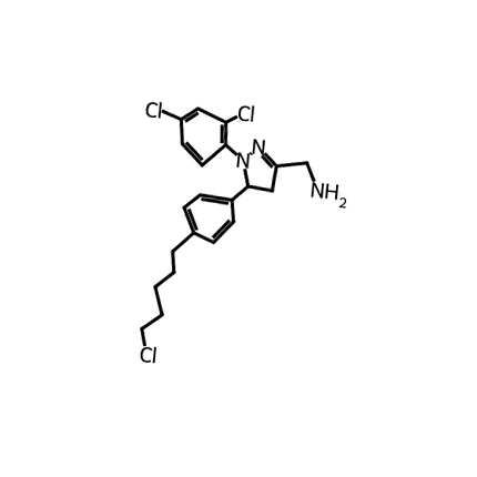 NCC1=NN(c2ccc(Cl)cc2Cl)C(c2ccc(CCCCCCl)cc2)C1